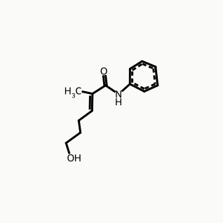 CC(=CCCCO)C(=O)Nc1ccccc1